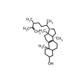 C=C(C)[C@@H](C)CC[C@@H](C)[C@H]1CC[C@@]2(C)C3=C(CC[C@]12C)[C@@]1(C)CCC(O)CC1CC3